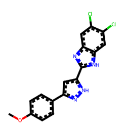 COc1ccc(-c2cc(-c3nc4cc(Cl)c(Cl)cc4[nH]3)[nH]n2)cc1